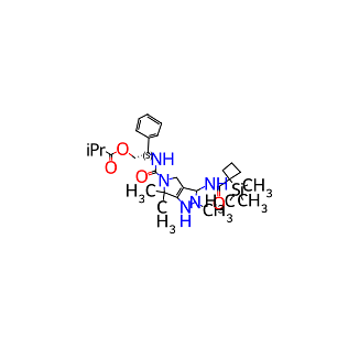 CC(C)C(=O)OC[C@@H](NC(=O)N1CC2=C(NN(C)C2NC(=O)C2([Si](C)(C)C)CCC2)C1(C)C)c1ccccc1